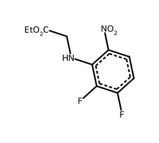 CCOC(=O)CNc1c([N+](=O)[O-])ccc(F)c1F